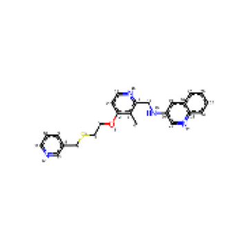 Cc1c(OCCSCc2cccnc2)ccnc1CNc1cnc2ccccc2c1